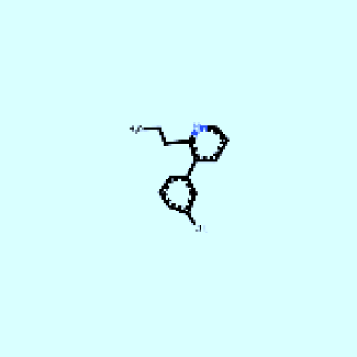 CCCc1ncccc1-c1cccc(C)c1